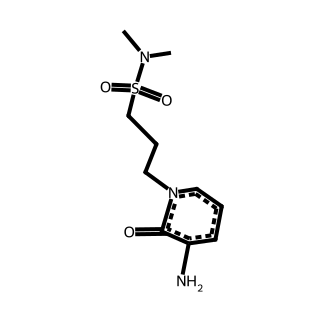 CN(C)S(=O)(=O)CCCn1cccc(N)c1=O